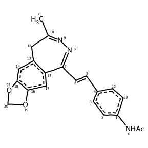 CC(=O)Nc1ccc(C=CC2=NN=C(C)Cc3cc4c(cc32)OCO4)cc1